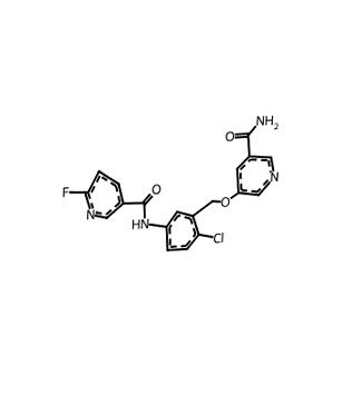 NC(=O)c1cncc(OCc2cc(NC(=O)c3ccc(F)nc3)ccc2Cl)c1